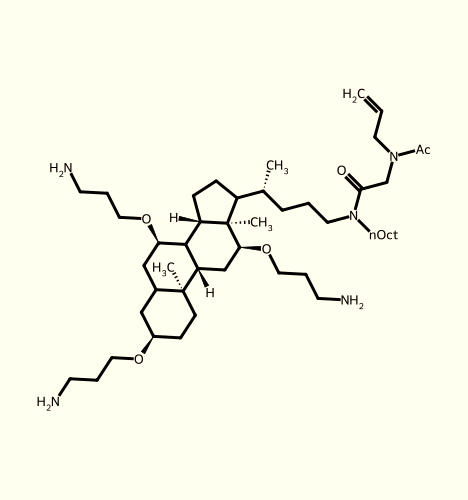 C=CCN(CC(=O)N(CCCCCCCC)CCC[C@@H](C)C1CC[C@H]2C3[C@H](OCCCN)CC4C[C@H](OCCCN)CC[C@]4(C)[C@H]3C[C@H](OCCCN)[C@]12C)C(C)=O